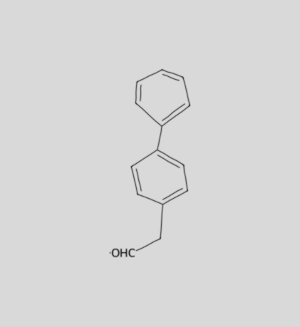 O=[C]Cc1ccc(-c2ccccc2)cc1